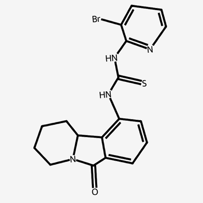 O=C1c2cccc(NC(=S)Nc3ncccc3Br)c2C2CCCCN12